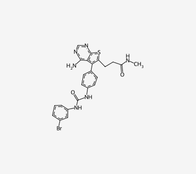 CNC(=O)CCc1sc2ncnc(N)c2c1-c1ccc(NC(=O)Nc2cccc(Br)c2)cc1